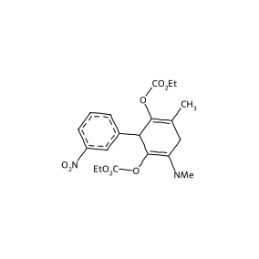 CCOC(=O)OC1=C(C)CC(NC)=C(OC(=O)OCC)C1c1cccc([N+](=O)[O-])c1